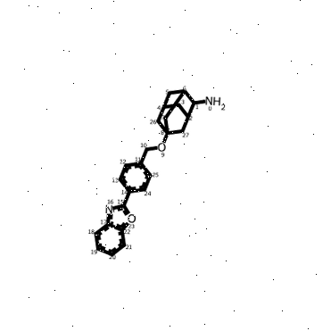 NC1C2CC3CC1CC(OCc1ccc(-c4nc5ccccc5o4)cc1)(C3)C2